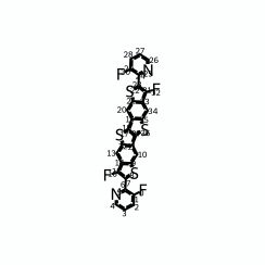 Fc1cccnc1-c1sc2cc3c(cc2c1F)sc1c2cc4sc(-c5ncccc5F)c(F)c4cc2sc31